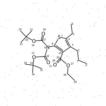 CCCc1c(CC)sc(N(C(=O)OC(C)(C)C)C(=O)OC(C)(C)C)c1C(=O)OCC